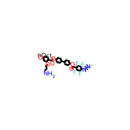 CCCCCCCCOc1ccc(C(=O)Oc2ccc(-c3ccc(OC(=O)c4c(F)c(F)c(N=[N+]=[N-])c(F)c4F)cc3)cc2)c(OCCCN)c1